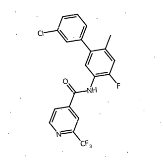 Cc1cc(F)c(NC(=O)c2ccnc(C(F)(F)F)c2)cc1-c1cccc(Cl)c1